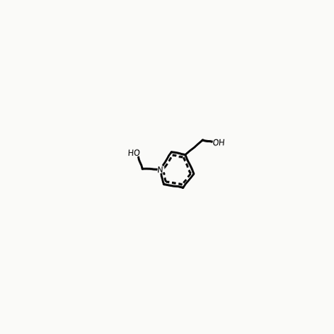 OCc1ccc[n+](CO)c1